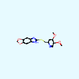 COc1cnc(CSc2nc3cc4c(cc3[nH]2)OCO4)cc1OC